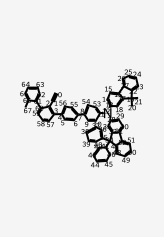 C#Cc1c(-c2ccc(-c3ccc(N(c4ccc5c(c4)C(C)(C)c4ccccc4-5)c4ccc5c(c4)C(c4ccccc4)(C4C=CC=CC4)c4ccccc4-5)cc3)cc2)cccc1-c1ccccc1C